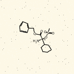 CS(=O)(=O)O[C@@](N)(C(=O)OCc1ccccc1)C1CCCCC1